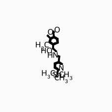 Cc1c(C(O)CNCc2cc[c]([Sn]([CH3])([CH3])[CH3])nc2)ccc2c1COC2=O